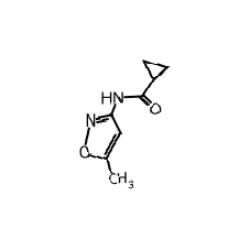 Cc1cc(NC(=O)C2CC2)no1